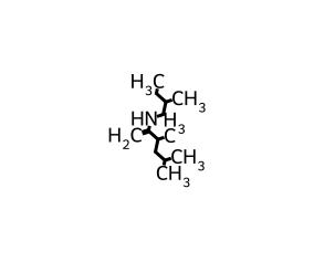 C=C(NCC(C)CC)C(C)CC(C)C